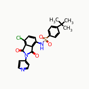 CC(C)(C)c1ccc(S(=O)(=O)Nc2ccc(Cl)c3c2C(=O)N(c2ccncc2)C3=O)cc1